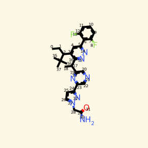 CCC(c1cc(-c2c(F)cccc2F)nnc1C(C)c1cncc(-c2ccn(CC(N)=O)n2)n1)C(C)(C)C